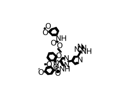 COc1ccc(S(=O)(=O)Nc2nc(-c3ccnc(-c4nnn[nH]4)c3)nc(OCCOC(=O)Nc3ccc4c(c3)OCO4)c2Oc2ccccc2OC)cc1